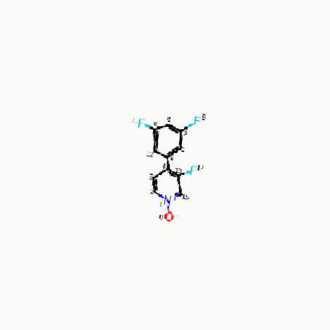 [O-][n+]1ccc(-c2cc(F)cc(F)c2)c(F)c1